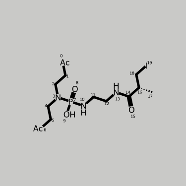 CC(=O)CCN(CCC(C)=O)P(=O)(O)NCCNC(=O)[C@@H](C)CI